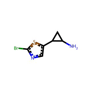 NC1CC1c1cnc(Br)s1